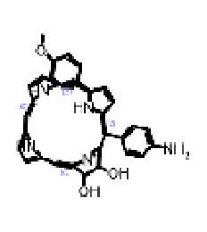 COc1ccc(C23C=C/C(=C(\c4ccc(N)cc4)C4=N/C(=C\c5ccc([nH]5)/C=c5/cc/c([nH]5)=C/2)C(O)C4O)N3)cc1